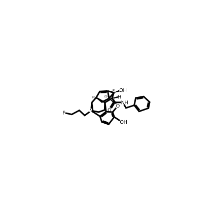 O=C(NCc1ccccc1)[C@@]12C[C@@]34C=C1[C@]2(O)[C@@H]1Oc2c(O)ccc5c2C13CCN(CCCF)C4C5